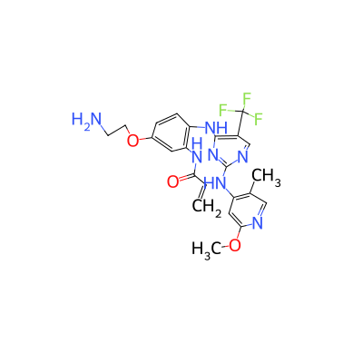 C=CC(=O)Nc1cc(OCCN)ccc1Nc1nc(Nc2cc(OC)ncc2C)ncc1C(F)(F)F